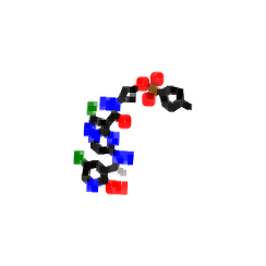 Cc1ccc(S(=O)(=O)OC2CC(NC(=O)c3c(F)nn4ccc(N[C@H](C)c5cc(F)cnc5O)nc34)C2)cc1